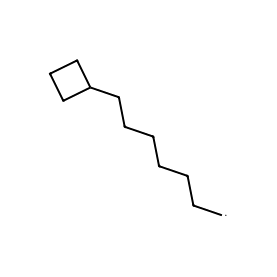 [CH2]CCCCCCC1CCC1